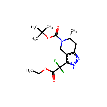 CCOC(=O)C(F)(F)c1[nH]nc2c1CN(C(=O)OC(C)(C)C)[C@H](C)C2